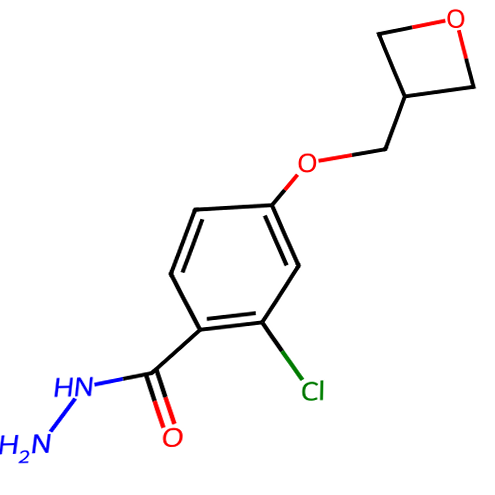 NNC(=O)c1ccc(OCC2COC2)cc1Cl